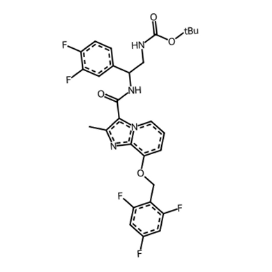 Cc1nc2c(OCc3c(F)cc(F)cc3F)cccn2c1C(=O)NC(CNC(=O)OC(C)(C)C)c1ccc(F)c(F)c1